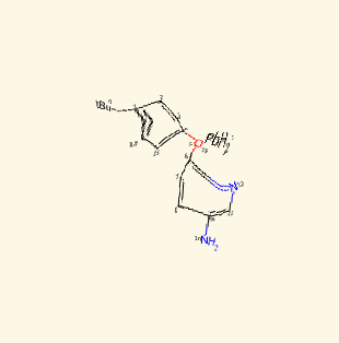 CC(C)(C)c1ccc(Oc2ccc(N)cn2)cc1.[PbH2]